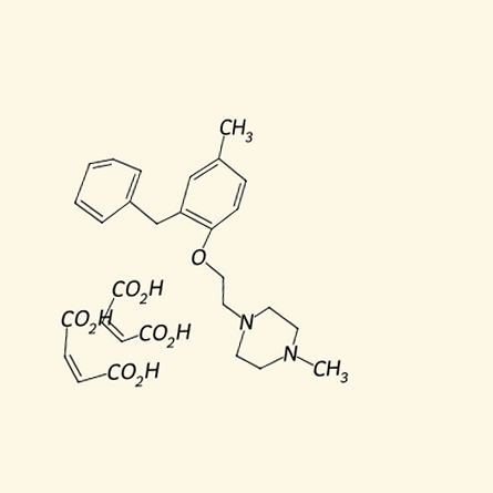 Cc1ccc(OCCN2CCN(C)CC2)c(Cc2ccccc2)c1.O=C(O)/C=C\C(=O)O.O=C(O)/C=C\C(=O)O